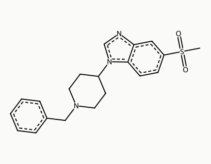 CS(=O)(=O)c1ccc2c(c1)ncn2C1CCN(Cc2ccccc2)CC1